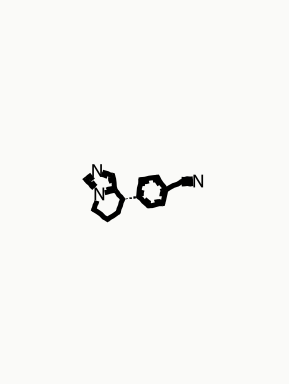 N#Cc1ccc([C@@H]2CCCn3cncc32)cc1